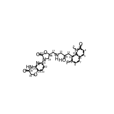 Cn1c(=O)ccc2ccc(F)c(C[C@@H](O)CNC[C@H]3CN(c4ccc5c(n4)NC(=O)CO5)C(=O)O3)c21